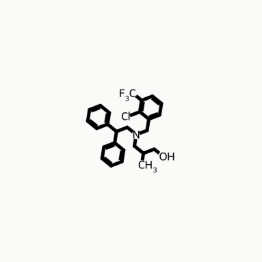 CC(CO)CN(Cc1cccc(C(F)(F)F)c1Cl)CC(c1ccccc1)c1ccccc1